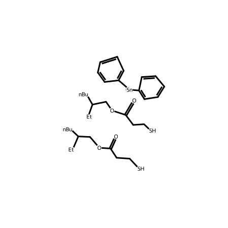 CCCCC(CC)COC(=O)CCS.CCCCC(CC)COC(=O)CCS.c1cc[c]([Sn][c]2ccccc2)cc1